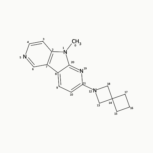 Cn1c2ccncc2c2ccc(N3CC4(CCC4)C3)nc21